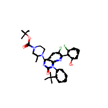 CC1CN(C(=O)OC(C)(C)C)CCN1c1nc(=O)n(-c2ccccc2C(C)(C)C)c2nc(-c3c(O)cccc3F)c(Cl)cc12